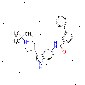 CC(C)(C)N1CCC(c2c[nH]c3ccc(NC(=O)c4cccc(-c5ccccc5)c4)cc23)CC1